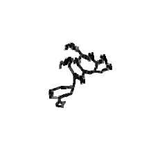 CCCCc1nc2nncc-2c2nc(-c3cccc(Cl)c3)[nH]n12